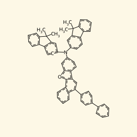 CC1(C)c2ccccc2-c2ccc(N(c3ccc4c(c3)C(C)(C)c3ccccc3-4)c3ccc4c(c3)oc3c5ccccc5c(-c5ccc(-c6ccccc6)cc5)cc43)cc21